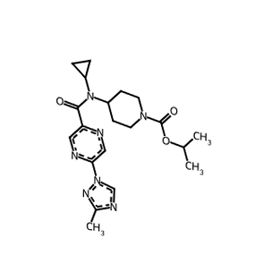 Cc1ncn(-c2cnc(C(=O)N(C3CC3)C3CCN(C(=O)OC(C)C)CC3)cn2)n1